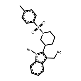 CC(=O)Cc1c(C2CCCN(S(=O)(=O)c3ccc(C)cc3)C2)n(C(C)=O)c2ccccc12